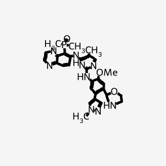 COc1cc(C2CNCCO2)c(-c2cnn(C)c2)cc1Nc1ncc(C)c(Nc2ccc3nccnc3c2P(C)(C)=O)n1